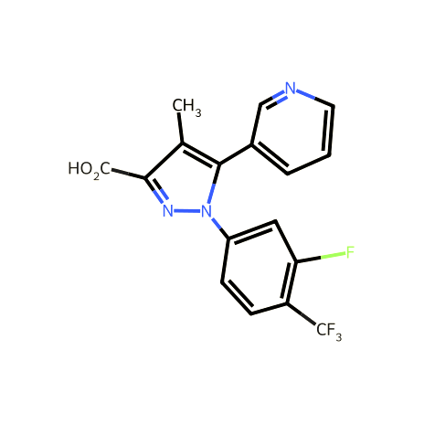 Cc1c(C(=O)O)nn(-c2ccc(C(F)(F)F)c(F)c2)c1-c1cccnc1